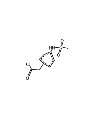 CS(=O)(=O)Nc1ccc(CC(=O)Cl)cc1